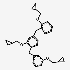 c1cc(Cc2ccc(Cc3ccccc3OCC3CC3)cc2OCC2CC2)cc(OCC2CC2)c1